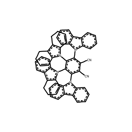 N#Cc1c(C#N)c(-n2c3ccccc3c3ccccc32)c(-n2c3c(c4ccccc42)CCC=C3)c(-n2c3c(c4c2C=CCC4)CCC=C3)c1-n1c2ccccc2c2ccccc21